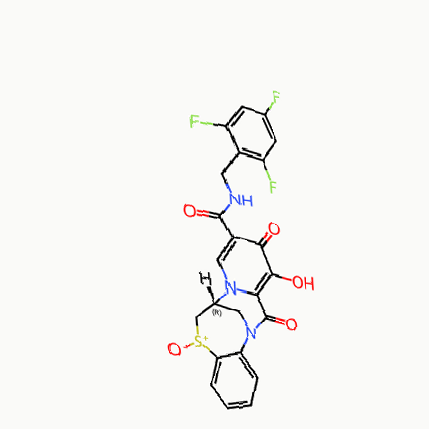 O=C(NCc1c(F)cc(F)cc1F)c1cn2c(c(O)c1=O)C(=O)N1C[C@@H]2C[S+]([O-])c2ccccc21